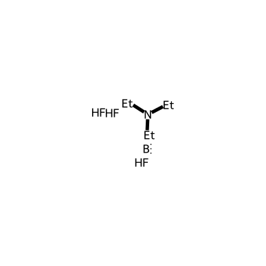 CCN(CC)CC.F.F.F.[B]